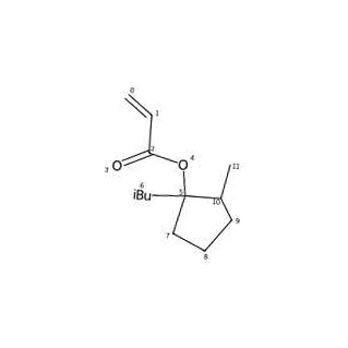 C=CC(=O)OC1(C(C)CC)CCCC1C